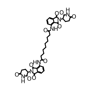 O=C1CCC(N2C(=O)c3cccc(NC(=O)CCCCCCCCC(=O)Nc4cccc5c4C(=O)N(C4CCC(=O)NC4=O)C5=O)c3C2=O)C(=O)N1